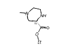 CCOC(=O)[C@@H]1CN(C)CCN1